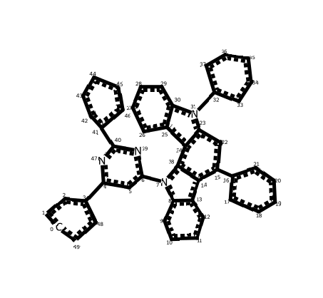 c1ccc(-c2cc(-n3c4ccccc4c4c(-c5ccccc5)cc5c(c6ccccc6n5-c5ccccc5)c43)nc(-c3ccccc3)n2)cc1